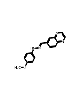 COc1ccc(N/N=C/c2ccc3nccnc3c2)cc1